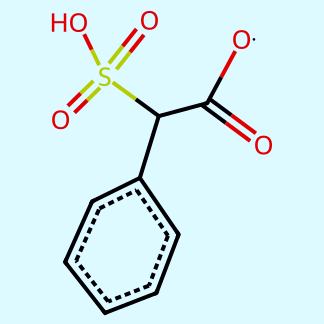 [O]C(=O)C(c1ccccc1)S(=O)(=O)O